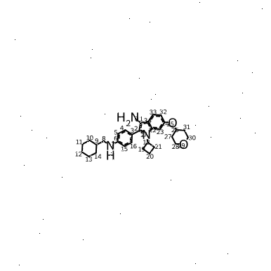 Nc1c(-c2ccc(NCC3CCCCC3)cc2)n(C2CCC2)c2cc(OC3CCOCC3)ccc12